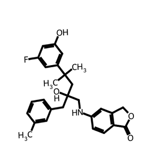 Cc1cccc(CC(O)(CNc2ccc3c(c2)COC3=O)CC(C)(C)c2cc(O)cc(F)c2)c1